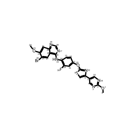 COc1ncc(-c2csc(Oc3ccc(Nc4ncnc5cc(OC)c(Br)cc45)c(F)c3)n2)cn1